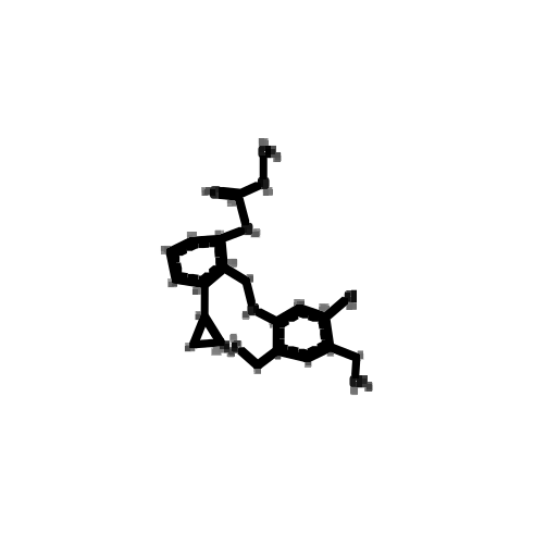 CCc1cc(CC)c(OCc2c(OC(=O)OC)cccc2C2CC2)cc1Cl